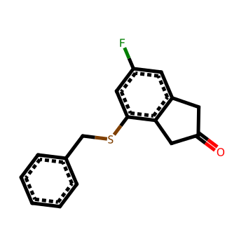 O=C1Cc2cc(F)cc(SCc3ccccc3)c2C1